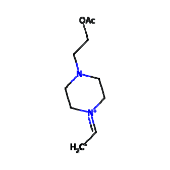 [CH2-]C=[N+]1CCN(CCOC(C)=O)CC1